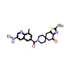 CCNc1cnc2c(C)cc(C(=O)N3CCC4(CC3)CC(=O)c3nc(C(C)(C)C)sc3C4)cc2c1